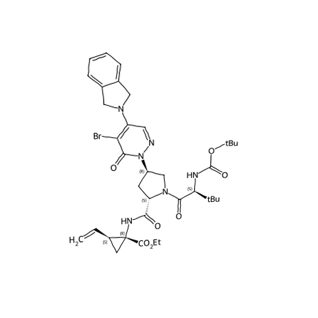 C=C[C@@H]1C[C@]1(NC(=O)[C@@H]1C[C@@H](n2ncc(N3Cc4ccccc4C3)c(Br)c2=O)CN1C(=O)[C@@H](NC(=O)OC(C)(C)C)C(C)(C)C)C(=O)OCC